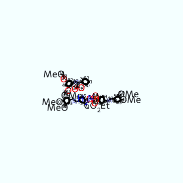 CCOC(=O)c1cc(/C=C/c2ccc(OC)c(OC)c2)ccc1O.COCOc1cc(/C=C2\C(=O)Oc3ccccc32)cc(OCOC)c1.COc1ccc(/C=C/c2ccc(S(N)(=O)=O)cc2)cc1OC